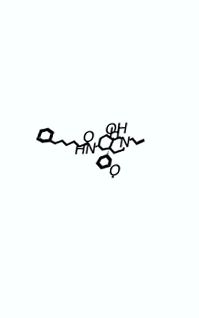 C=CCN1CC[C@@]2(c3cccc(OC)c3)C[C@@H](NC(=O)CCCCCc3ccccc3)CC(O)[C@@H]2C1